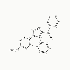 CCOC(=O)c1ccc(-n2nnc(C(=O)c3ccccc3)c2-c2ccccc2)cc1